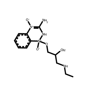 CCNCC(O)CO[N+]1([O-])NC(N)=[N+]([O-])c2ccccc21